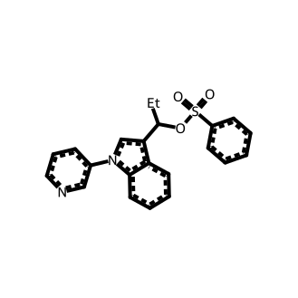 CCC(OS(=O)(=O)c1ccccc1)c1cn(-c2cccnc2)c2ccccc12